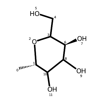 C[C@@H]1OC(CO)[C@@H](O)C(O)C1O